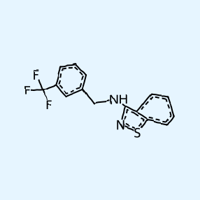 FC(F)(F)c1cccc(CNc2nsc3ccccc23)c1